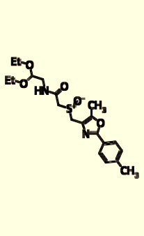 CCOC(CNC(=O)C[S+]([O-])Cc1nc(-c2ccc(C)cc2)oc1C)OCC